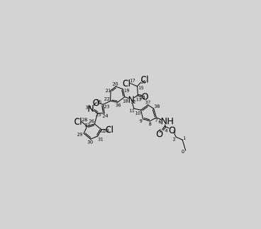 CCCOC(=O)Nc1ccc(CN(C(=O)C(Cl)Cl)c2cccc(-c3cc(-c4c(Cl)cccc4Cl)no3)c2)cc1